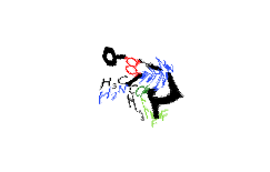 CC(C)(N)C(=O)N[C@H](COCc1ccccc1)c1nnc2ccc(C(F)(F)F)c(Cl)n12